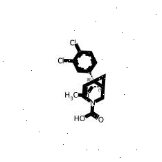 COC[C@]12CN(C(=O)O)C=C[C@@]1(c1ccc(Cl)c(Cl)c1)C2